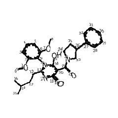 COc1cccc(OC)c1-n1c(CCC(C)C)nc(=O)c(C(=O)N2CCC(c3ccccc3)C2)c1O